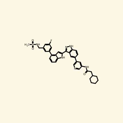 CS(=O)(=O)NCc1cc(F)cc(-c2cccc3[nH]c(-c4n[nH]c5ccc(-c6cncc(NC(=O)CC7CCCCC7)c6)cc45)cc23)c1